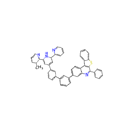 CC1CC=CN=C1C1=CC(c2cccc(-c3cccc(-c4ccc5c(c4)nc(-c4ccccc4)c4sc6ccccc6c45)c3)c2)=CC(c2ccccn2)N1